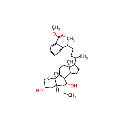 CC[C@H]1[C@@H](O)C2C3CC[C@H]([C@H](C)CCC(C)c4ccccc4C(=O)OC)[C@@]3(C)CCC2[C@@]2(C)CC[C@@H](O)C[C@@H]12